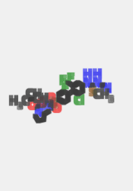 CSC(NC#N)Nc1cc(Cl)c(-c2ccc(S(=O)(=O)NCC3CCCN3C(=O)OC(C)(C)C)cc2)c(C(F)(F)F)c1